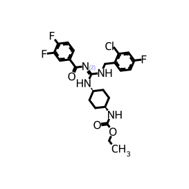 CCOC(=O)N[C@H]1CC[C@H](N/C(=N\C(=O)c2ccc(F)c(F)c2)NCc2ccc(F)cc2Cl)CC1